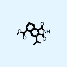 COC(=O)c1cccc2c3c(c(C(C)C)cc12)C(=O)NC3=O